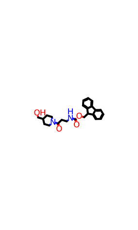 O=C(NCCC(=O)N1CCC(CO)CC1)OCC1c2ccccc2-c2ccccc21